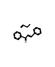 C=CCC.O=C(C=Cc1ccccc1)c1ccccc1